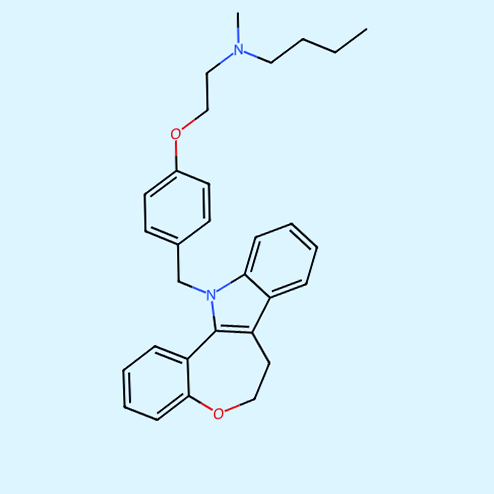 CCCCN(C)CCOc1ccc(Cn2c3c(c4ccccc42)CCOc2ccccc2-3)cc1